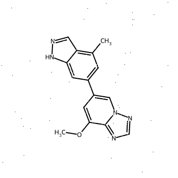 COc1cc(-c2cc(C)c3cn[nH]c3c2)cn2ncnc12